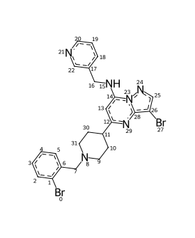 Brc1ccccc1CN1CCC(c2cc(NCc3cccnc3)n3ncc(Br)c3n2)CC1